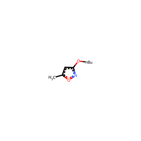 CCCCOc1cc(C)on1